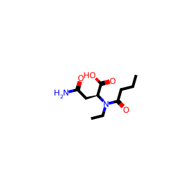 CCCC(=O)N(CC)[C@@H](CC(N)=O)C(=O)O